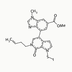 C=CCCn1cc(-c2cc(C(=O)OC)cc3c2ncn3C)c2ccn(SI)c2c1=O